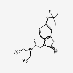 CCN(CC)C(=O)Cn1c(=N)sc2cc(OC(F)(F)F)ccc21